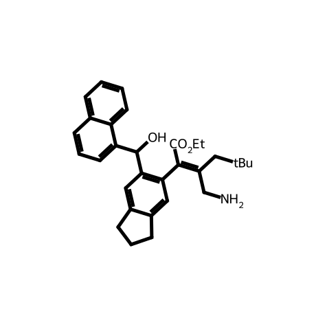 CCOC(=O)/C(=C(/CN)CC(C)(C)C)c1cc2c(cc1C(O)c1cccc3ccccc13)CCC2